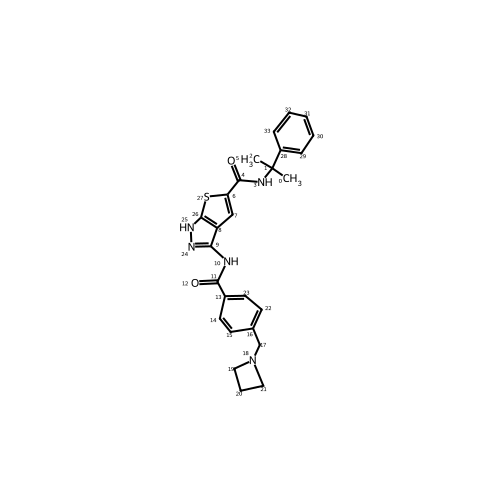 CC(C)(NC(=O)c1cc2c(NC(=O)c3ccc(CN4CCC4)cc3)n[nH]c2s1)c1ccccc1